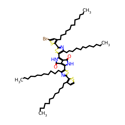 CCCCCCCCCCCCc1ccsc1-c1nc(CCCCCCCCCCCC)c(C2=C3C(=O)NC(c4sc(-c5sc(Br)cc5CCCCCCCCCCCC)nc4CCCCCCCCCCCC)=C3C(=O)N2)s1